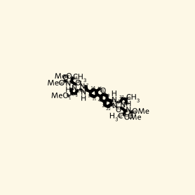 COC[C@H]1C[C@@H](c2ncc(-c3ccc4c(c3)COc3cc5c(ccc6nc([C@@H]7C[C@H](C)CN7C(=O)C(NC(=O)OC)C(C)OC)[nH]c65)cc3-4)[nH]2)N(C(=O)C(NC(=O)OC)C(C)OC)C1